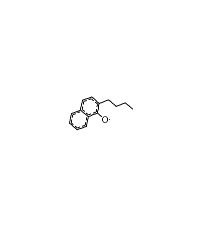 CCCCc1ccc2ccccc2c1[O]